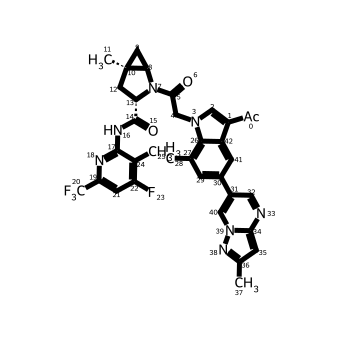 CC(=O)c1cn(CC(=O)N2C3C[C@]3(C)C[C@H]2C(=O)Nc2nc(C(F)(F)F)cc(F)c2C)c2c(C)cc(-c3cnc4cc(C)nn4c3)cc12